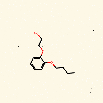 CCCCOc1ccccc1OCCO